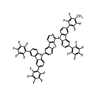 Cc1c(F)c(F)c(-c2ccc3c(c2)c2cc(-c4c(F)c(F)c(F)c(F)c4F)ccc2n3-c2nccc3c2sc2ccc(-n4c5ccc(-c6c(F)c(F)c(F)c(F)c6F)cc5c5cc(-c6c(F)c(F)c(F)c(F)c6F)ccc54)cc23)c(F)c1F